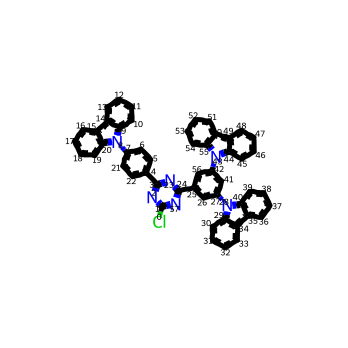 Clc1nc(-c2ccc(-n3c4ccccc4c4ccccc43)cc2)nc(-c2cc(-n3c4ccccc4c4ccccc43)cc(-n3c4ccccc4c4ccccc43)c2)n1